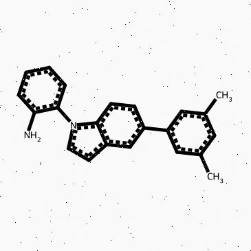 Cc1cc(C)cc(-c2ccc3c(ccn3-c3ccccc3N)c2)c1